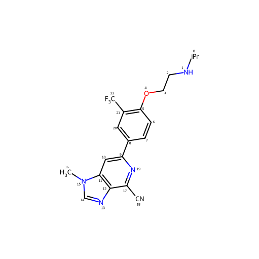 CC(C)NCCOc1ccc(-c2cc3c(ncn3C)c(C#N)n2)cc1C(F)(F)F